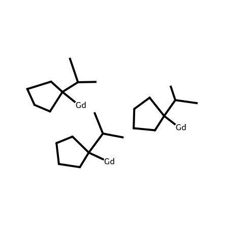 CC(C)[C]1([Gd])CCCC1.CC(C)[C]1([Gd])CCCC1.CC(C)[C]1([Gd])CCCC1